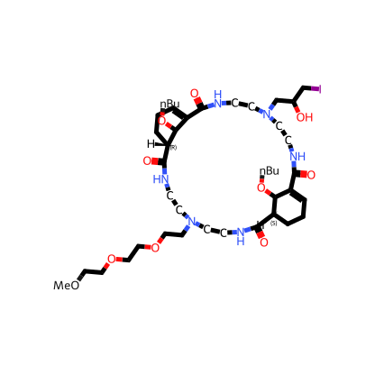 CCCCOC1C2=CCC[C@@H]1C(=O)NCCN(CCOCCOCCOC)CCNC(=O)[C@@H]1CCC=C(C(=O)NCCN(CC(O)CI)CCNC2=O)C1OCCCC